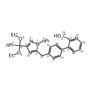 CCCn1nc(C(CCC)(OCC)OCC)nc1Cc1ccc(-c2cccnc2C(=O)O)cc1